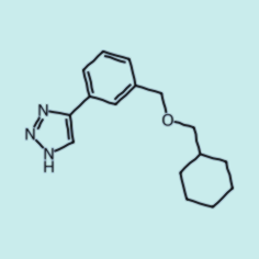 c1cc(COCC2CCCCC2)cc(-c2c[nH]nn2)c1